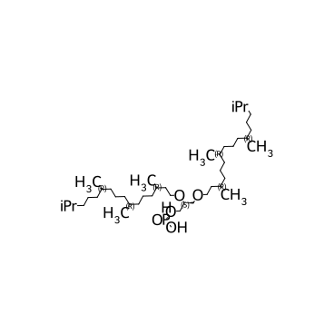 CC(C)CCC[C@@H](C)CCC[C@@H](C)CCC[C@@H](C)CCOC[C@@H](CO[PH](=O)O)OCC[C@H](C)CCC[C@H](C)CCC[C@H](C)CCCC(C)C